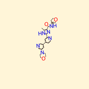 Cc1[nH]c(-c2cc(-c3cncc(N4CCOCC4)c3)ccn2)nc1C(=O)N[C@@H]1CCOC1